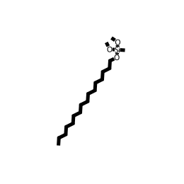 CCCCCCCCCCCCCCCCO[Si](C)(OC)OC